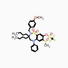 CCCCC1(CCCC)CN(c2ccccc2)c2cc(SC)c(OS(=O)(=O)C(F)(F)F)cc2S(=O)(=O)N1Cc1ccc(OC)cc1